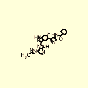 Cc1cn(-c2ccnc3[nH]c(-c4n[nH]c5cc(F)c(-c6cncc(NC(=O)C7CCCCC7)c6)cc45)nc23)cn1